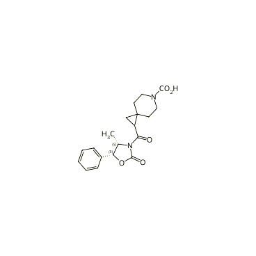 C[C@H]1[C@@H](c2ccccc2)OC(=O)N1C(=O)C1CC12CCN(C(=O)O)CC2